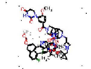 COCOc1cc(-c2ncc3c(N4CC5CCC(C4)N5C(=O)OC(C)(C)C)nc(OCC4(CN5CC(CN6CCC7(CC6)CCN(C(=O)c6ccc(OC)c(N8CCC(=O)NC8=O)c6)CC7)C5)CC4)nc3c2F)c2c(C#C[Si](C(C)C)(C(C)C)C(C)C)c(F)ccc2c1